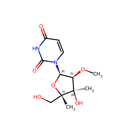 CO[C@@H]1[C@H](n2ccc(=O)[nH]c2=O)O[C@@](C)(CO)[C@]1(C)O